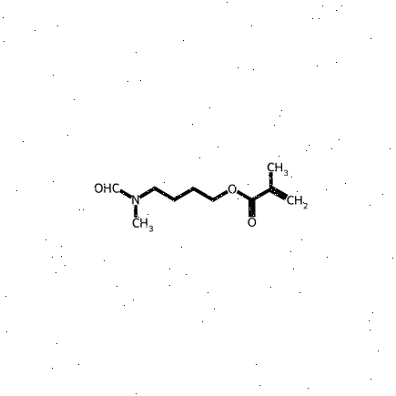 C=C(C)C(=O)OCCCCN(C)C=O